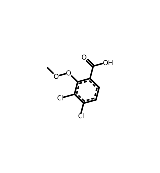 COOc1c(C(=O)O)ccc(Cl)c1Cl